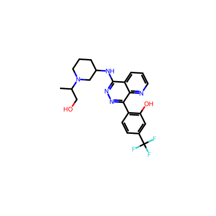 CC(CO)N1CCCC(Nc2nnc(-c3ccc(C(F)(F)F)cc3O)c3ncccc23)C1